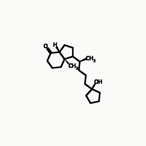 C[C@@H](CCCC1(O)CCCC1)C1CC[C@H]2C(=O)CCC[C@]12C